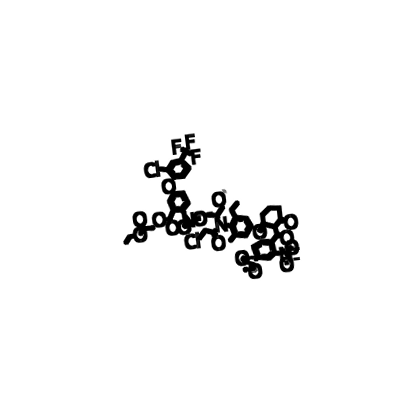 CCOC(=O)COC(=O)c1cc(Oc2ccc(C(F)(F)F)cc2Cl)ccc1[N+](=O)[O-].CCc1cccc(C)c1N(C(=O)CCl)C(C)COC.CS(=O)(=O)c1ccc(C(=O)C2C(=O)CCCC2=O)c([N+](=O)[O-])c1